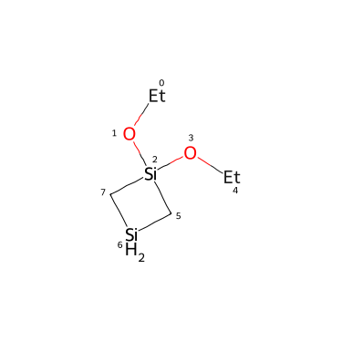 CCO[Si]1(OCC)C[SiH2]C1